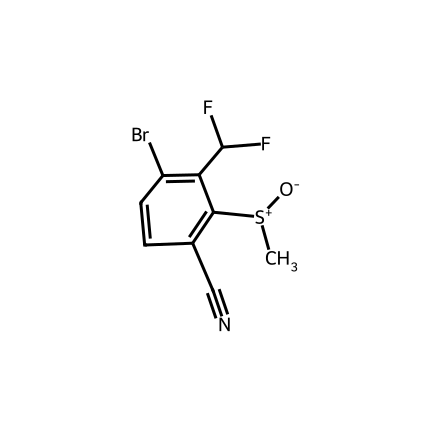 C[S+]([O-])c1c(C#N)ccc(Br)c1C(F)F